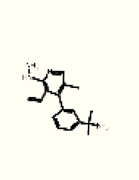 C=Cc1c(NN)ncc(C)c1-c1cccc(C(C)(C)N)c1